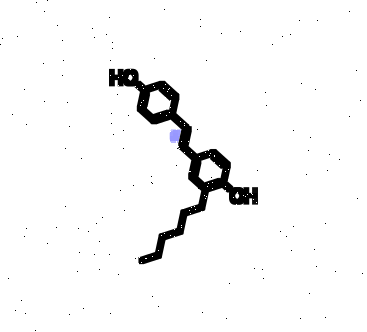 CCCCCCc1cc(/C=C/c2ccc(O)cc2)ccc1O